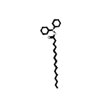 CCCCCCCCCCCCCCCC(=O)OP(C1CCCCC1)C1CCCCC1